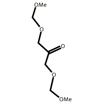 COCOCC(=O)COCOC